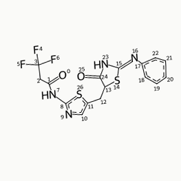 O=C(CC(F)(F)F)Nc1ncc(CC2S/C(=N\c3ccccc3)NC2=O)s1